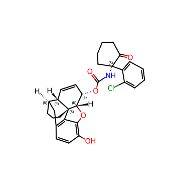 O=C(N[C@]1(c2ccccc2Cl)CCCCC1=O)O[C@H]1C=C[C@H]2[C@@H]3CCC[C@@]24c2c(ccc(O)c2O[C@@H]14)C3